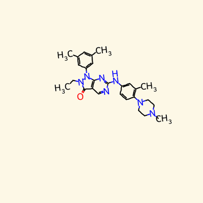 CCn1c(=O)c2cnc(Nc3ccc(N4CCN(C)CC4)c(C)c3)nc2n1-c1cc(C)cc(C)c1